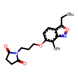 CCCc1c(OCCCN2C(=O)CCC2=O)ccc2c(CC(C)(C)C)onc12